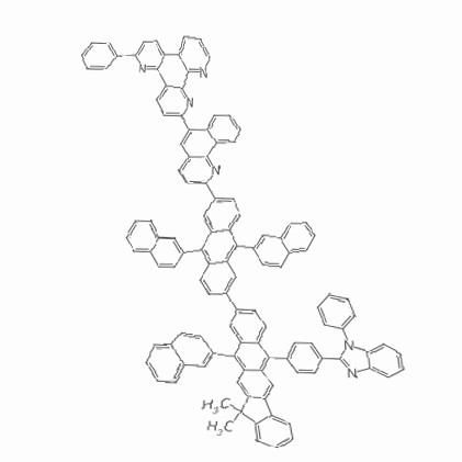 CC1(C)c2ccccc2-c2cc3c(-c4ccc(-c5nc6ccccc6n5-c5ccccc5)cc4)c4ccc(-c5ccc6c(-c7ccc8ccccc8c7)c7cc(-c8ccc9cc(-c%10ccc%11c%12nc(-c%13ccccc%13)ccc%12c%12cccnc%12c%11n%10)c%10ccccc%10c9n8)ccc7c(-c7ccc8ccccc8c7)c6c5)cc4c(-c4ccc5ccccc5c4)c3cc21